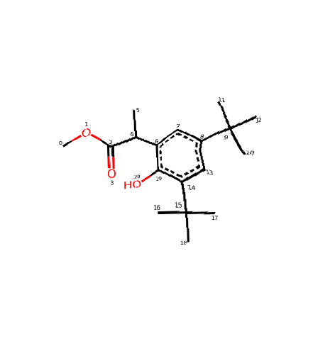 COC(=O)C(C)c1cc(C(C)(C)C)cc(C(C)(C)C)c1O